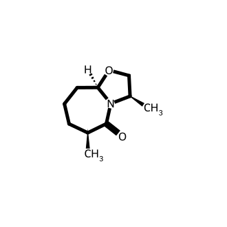 C[C@@H]1CO[C@@H]2CCC[C@H](C)C(=O)N12